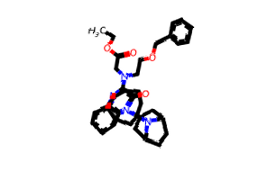 CCOC(=O)CN(CCOCc1ccccc1)c1nc2ccccc2n(C2CC3CCC(C2)N3C2CCCCCCC2)c1=O